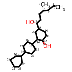 CCC[C@@H](C)CC[C@@H](O)C1CCC(O)C(C2CCC(C3CCCCC3)CC2)C1